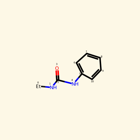 CCNC(=O)Nc1cc[c]cc1